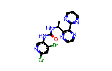 CC(NC(=O)Nc1cnc(Br)cc1Br)c1nccnc1-c1ncccn1